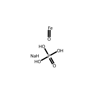 O=P(O)(O)O.[NaH].[O]=[Fe]